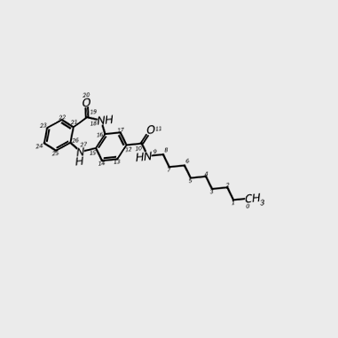 CCCCCCCCCNC(=O)c1ccc2c(c1)NC(=O)c1ccccc1N2